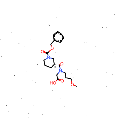 COCCCN(CC(=O)O)C(=O)[C@@H]1CCCN(C(=O)OCc2ccccc2)C1